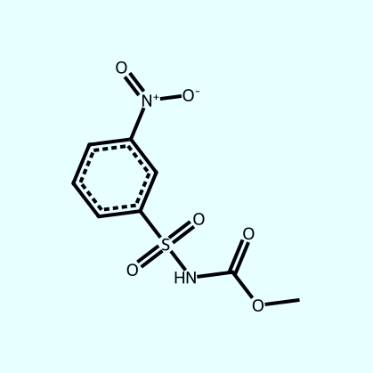 COC(=O)NS(=O)(=O)c1cccc([N+](=O)[O-])c1